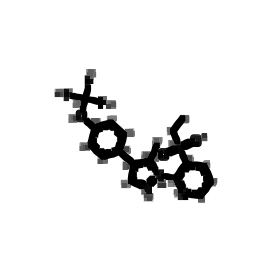 CCS(=O)(=O)c1cccnc1-n1ncc(-c2ccc(OC(F)(F)F)cc2)c1C